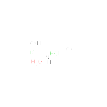 Cl.Cl.O.[CaH2].[CaH2].[NaH]